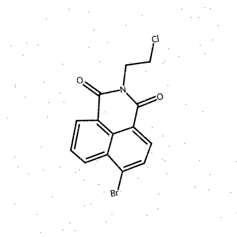 O=C1c2cccc3c(Br)ccc(c23)C(=O)N1CCCl